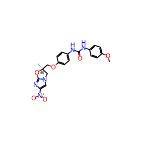 COc1ccc(NC(=O)Nc2ccc(OC[C@@]3(C)Cn4cc([N+](=O)[O-])nc4O3)cc2)cc1